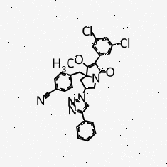 COC1=C(c2cc(Cl)cc(Cl)c2)C(=O)N2CC(n3cc(-c4ccccc4)nn3)CC12Cc1ccc(C#N)cc1